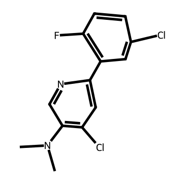 CN(C)c1cnc(-c2cc(Cl)ccc2F)cc1Cl